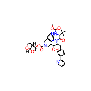 COC(=O)NC(C(=O)NC(Cc1ccc(-c2ccccn2)cc1)C(O)CCN(Cc1ccccc1)C(=O)O[C@H]1CO[C@H]2OCC[C@H]21)C(C)(C)C